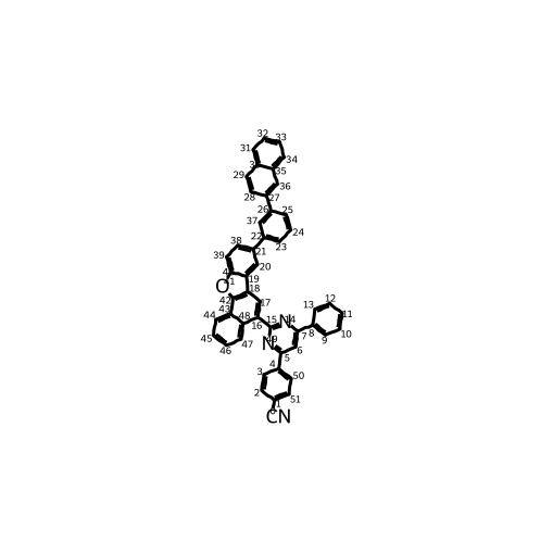 N#Cc1ccc(-c2cc(-c3ccccc3)nc(-c3cc4c5cc(-c6cccc(-c7ccc8ccccc8c7)c6)ccc5oc4c4ccccc34)n2)cc1